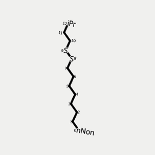 CCCCCCCCCCCCCCCCSSCCC(C)C